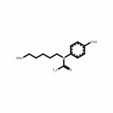 CCCCCCCCCCCCCCCN(C(=O)C(F)(F)F)c1ccc(C=O)cc1